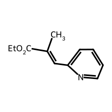 CCOC(=O)/C(C)=C/c1ccccn1